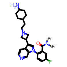 CC(C)N(C(=O)c1cc(F)ccc1-n1cc(C2CN(CCC3CCC(N)CC3)C2)c2ccncc21)C(C)C